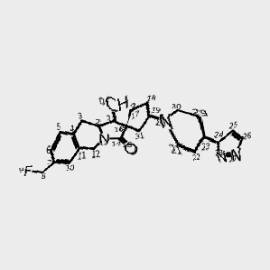 CC1C2Cc3ccc(CF)cc3CN2C(=O)[C@]12CCC(N1CCC(C3C=CN=N3)CC1)C2